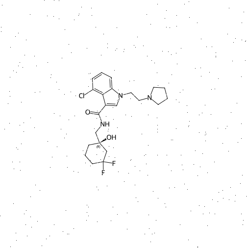 O=C(NC[C@@]1(O)CCCC(F)(F)C1)c1cn(CCN2CCCC2)c2cccc(Cl)c12